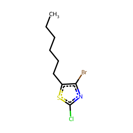 CCCCCCc1sc(Cl)nc1Br